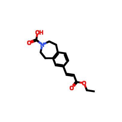 CCOC(=O)/C=C/c1ccc2c(c1)CCN(C(=O)O)CC2